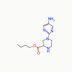 CCCCOC(=O)C1CN(c2ncc(N)cn2)CCN1